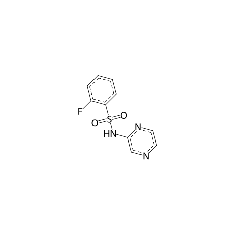 O=S(=O)(Nc1cnccn1)c1ccccc1F